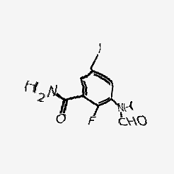 NC(=O)c1cc(I)cc(NC=O)c1F